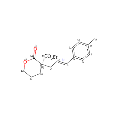 CCOC(=O)[C@]1(C/C=C/c2ccc(C)cc2)CCCOC1=O